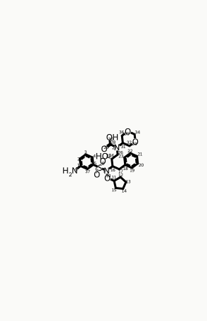 Nc1cccc(S(=O)(=O)N(OC2CCCC2)C(Cc2ccccc2)[C@H](O)CN(C(=O)O)C2COCOC2)c1